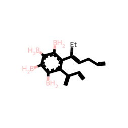 Bc1c(B)c(B)c(/C(=C/CC=C)CC)c(C(=C)C=C)c1B